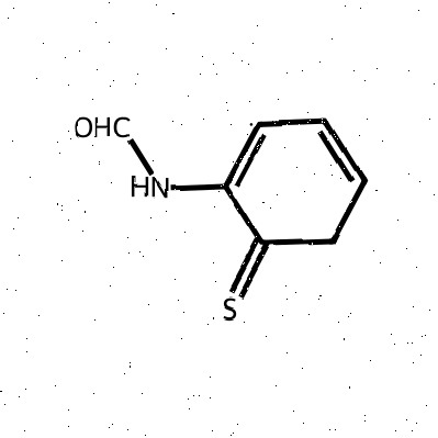 O=CNC1=[C]C=CCC1=S